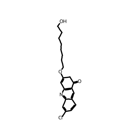 O=C1CC(OCCCCCCCCO)=Cc2nc3cc(Cl)ccc3cc21